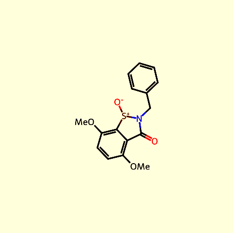 COc1ccc(OC)c2c1c(=O)n(Cc1ccccc1)[s+]2[O-]